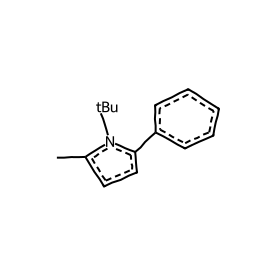 Cc1ccc(-c2ccccc2)n1C(C)(C)C